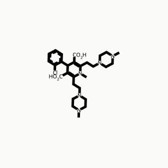 CN1CCN(CCC2=C(C(=O)O)C(c3ccccc3Cl)C(C(=O)O)=C(CCN3CCN(C)CC3)N2C)CC1